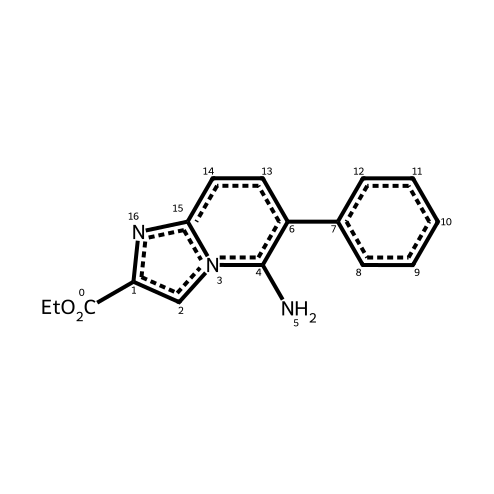 CCOC(=O)c1cn2c(N)c(-c3ccccc3)ccc2n1